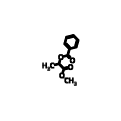 COC(=O)C(C)OC(=O)c1ccccc1